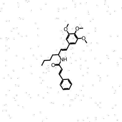 CCCCC(C=Cc1cc(OC)c(OC)c(OC)c1)NC(=O)C=Cc1ccccc1